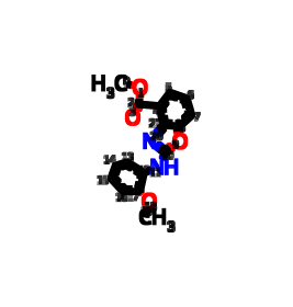 COC(=O)c1cccc2oc(Nc3ccccc3OC)nc12